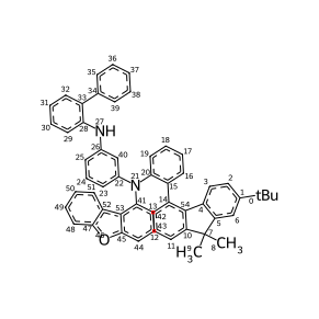 CC(C)(C)c1ccc2c(c1)C(C)(C)c1cccc(-c3ccccc3N(c3cccc(Nc4ccccc4-c4ccccc4)c3)c3cccc4oc5ccccc5c34)c1-2